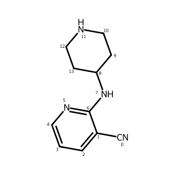 N#Cc1cccnc1NC1CCNCC1